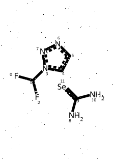 FC(F)n1ccnn1.NC(N)=[Se]